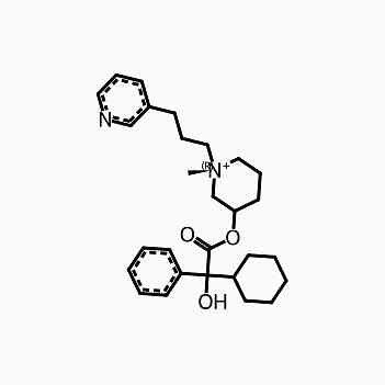 C[N@@+]1(CCCc2cccnc2)CCCC(OC(=O)C(O)(c2ccccc2)C2CCCCC2)C1